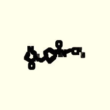 O=C(NCC(F)(F)F)c1ccc(Cn2cnccc2=O)cc1